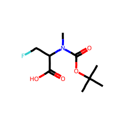 CN(C(=O)OC(C)(C)C)C(CF)C(=O)O